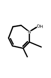 CC1=C(C)N(O)CCC=C1